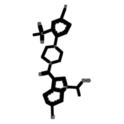 CC([C]=O)n1cc(C(=O)N2CCN(c3ccc(F)cc3S(C)(=O)=O)CC2)c2ccc(Cl)cc21